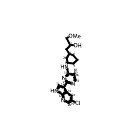 COCC(O)CC1CCC[C@H](Nc2nc(-c3c[nH]c4ncc(Cl)cc34)ncc2F)C1